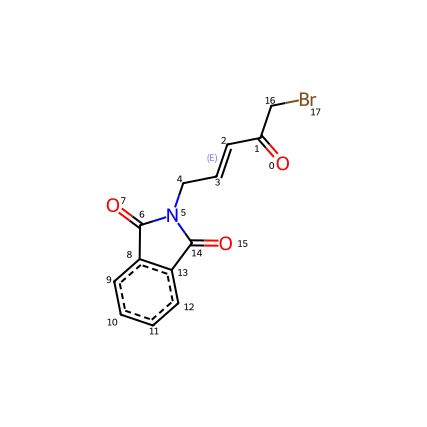 O=C(/C=C/CN1C(=O)c2ccccc2C1=O)CBr